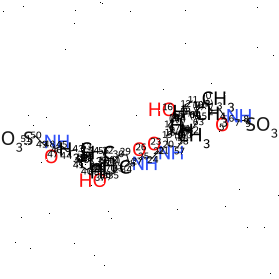 C[C@H](CCC(=O)NCCS(=O)(=O)O)[C@H]1CC[C@H]2[C@@H]3[C@@H](O)CC4CC(NC(=O)CC(=O)NC5CC[C@@]6(C)C(C5)C[C@H](O)[C@H]5[C@@H]7CC[C@H](CCCC(=O)NCCS(=O)(=O)O)[C@@]7(C)CC[C@@H]56)CC[C@]4(C)[C@H]3CC[C@]12C